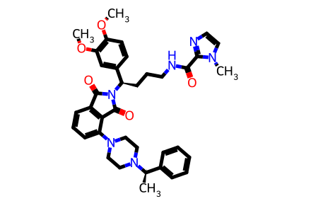 COc1ccc([C@@H](CCCNC(=O)c2nccn2C)N2C(=O)c3cccc(N4CCN([C@H](C)c5ccccc5)CC4)c3C2=O)cc1OC